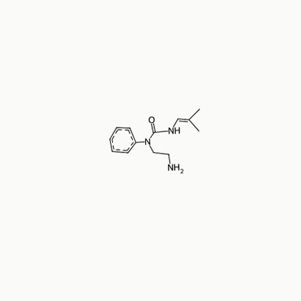 CC(C)=CNC(=O)N(CCN)c1ccccc1